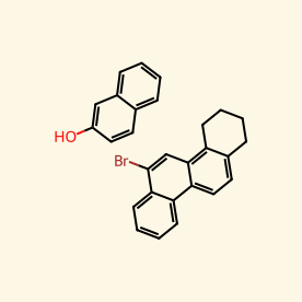 Brc1cc2c3c(ccc2c2ccccc12)CCCC3.Oc1ccc2ccccc2c1